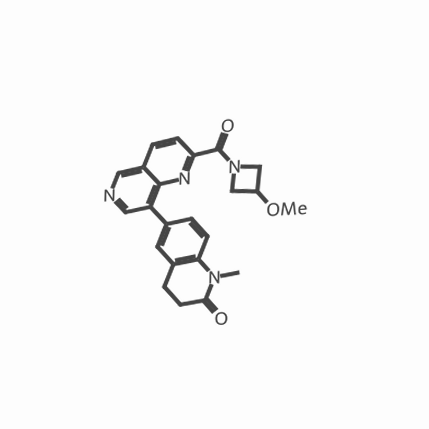 COC1CN(C(=O)c2ccc3cncc(-c4ccc5c(c4)CCC(=O)N5C)c3n2)C1